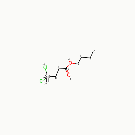 CCCCOC(=O)C[CH2][SnH]([Cl])[Cl]